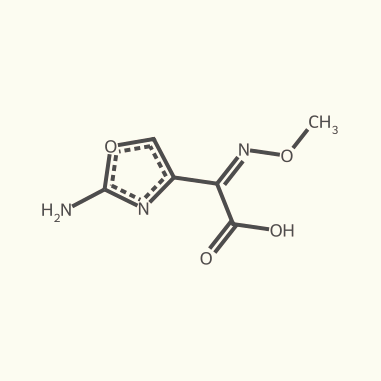 CON=C(C(=O)O)c1coc(N)n1